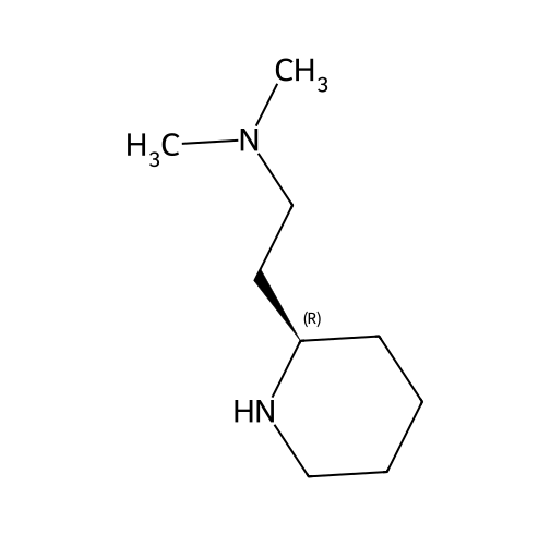 CN(C)CC[C@H]1CCCCN1